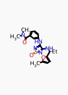 CC[C@@H](Nc1n[s+]([O-])nc1Nc1cccc(C(=O)N(C)C)c1)c1ccc(C)o1